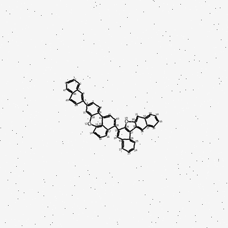 c1ccc2cc(-c3ccc4c(c3)Oc3cccc5c(-c6cc7ccccc7c7c6oc6cc8ccccc8cc67)ccc-4c35)ccc2c1